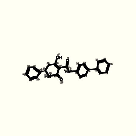 O=C(Nc1ccc(-c2ccccc2)cc1)C1=C(O)C[C@@H](c2ccccc2)NC1=O